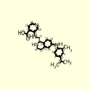 Cc1cc(C(C)C)ccc1Nc1ccc2c(c1)CCN[C@H]2CNc1cnccc1C(=O)O